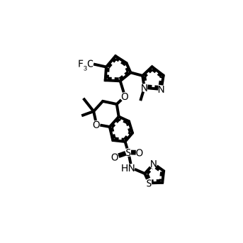 Cn1nccc1-c1ccc(C(F)(F)F)cc1OC1CC(C)(C)Oc2cc(S(=O)(=O)Nc3nccs3)ccc21